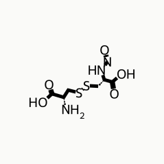 N[C@@H](CSSC[C@H](NN=O)C(=O)O)C(=O)O